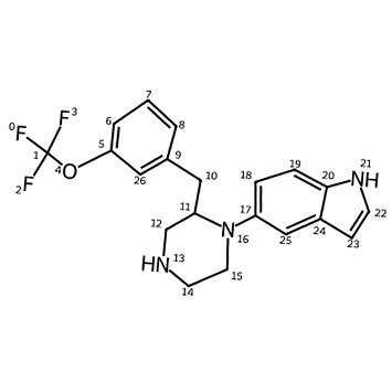 FC(F)(F)Oc1cccc(CC2CNCCN2c2ccc3[nH]ccc3c2)c1